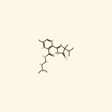 Cc1cnc(C2=NC(C)(C(C)C)C(=O)N2)c(C(=O)OCCN(C)C)c1